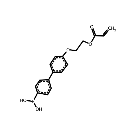 C=CC(=O)OCCOc1ccc(-c2ccc(B(O)O)cc2)cc1